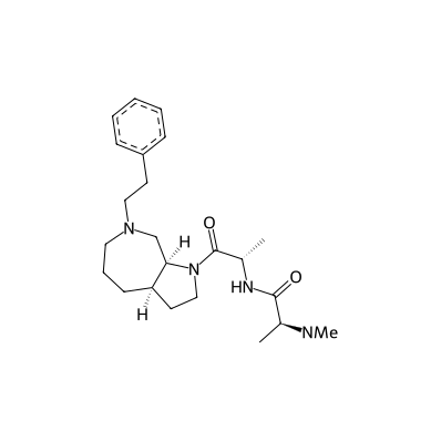 CN[C@@H](C)C(=O)N[C@@H](C)C(=O)N1CC[C@H]2CCCN(CCc3ccccc3)C[C@H]21